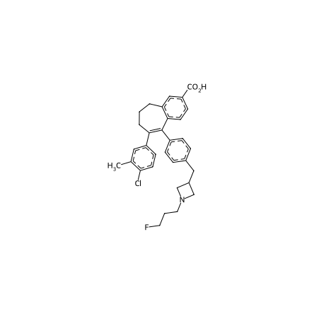 Cc1cc(C2=C(c3ccc(CC4CN(CCCF)C4)cc3)c3ccc(C(=O)O)cc3CCC2)ccc1Cl